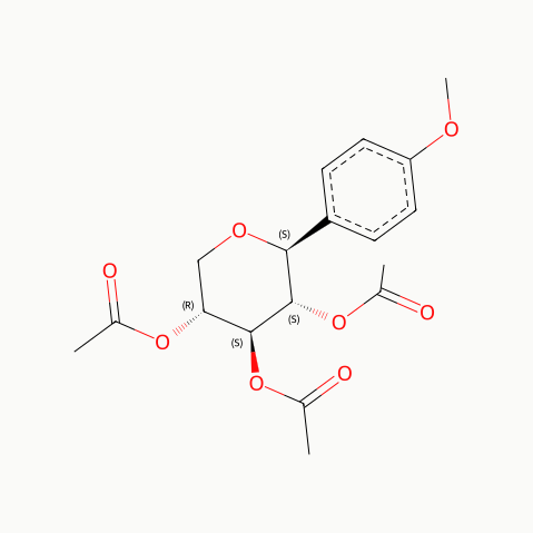 COc1ccc([C@@H]2OC[C@@H](OC(C)=O)[C@H](OC(C)=O)[C@H]2OC(C)=O)cc1